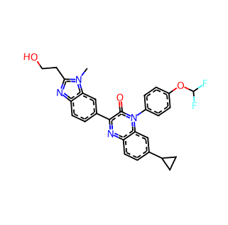 Cn1c(CCO)nc2ccc(-c3nc4ccc(C5CC5)cc4n(-c4ccc(OC(F)F)cc4)c3=O)cc21